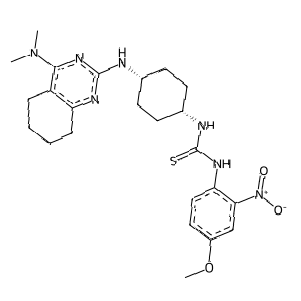 COc1ccc(NC(=S)N[C@H]2CC[C@@H](Nc3nc4c(c(N(C)C)n3)CCCC4)CC2)c([N+](=O)[O-])c1